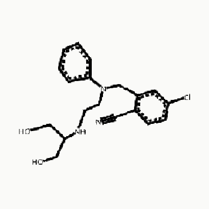 N#Cc1ccc(Cl)cc1CN(CCNC(CO)CO)c1ccccc1